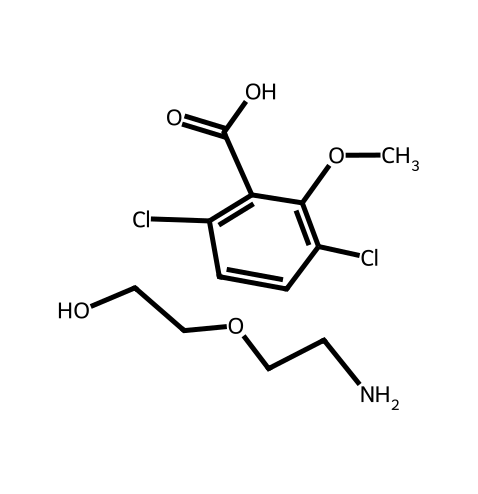 COc1c(Cl)ccc(Cl)c1C(=O)O.NCCOCCO